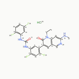 CCn1c(=O)c(-c2cc(NC(=O)Nc3cc(F)ccc3F)c(F)cc2F)cc2cnc(NC)cc21.Cl